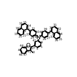 Cc1c(-c2cccc(N(c3ccc(-c4cccc5ccccc45)cc3)c3ccc(-c4cccc5ccccc45)cc3)c2)oc2ccccc12